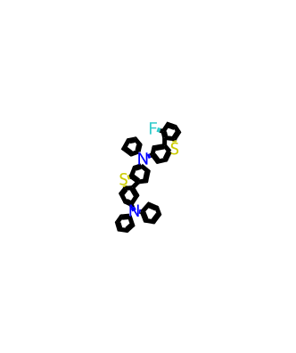 Fc1cccc2sc3ccc(N(c4ccccc4)c4ccc5c(c4)sc4ccc(N(c6ccccc6)c6ccccc6)cc45)cc3c12